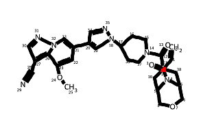 C=CC(=O)N1C2COCC1CN(C(=O)N1CCC(n3cc(-c4cc(OC)c5c(C#N)cnn5c4)cn3)CC1)C2